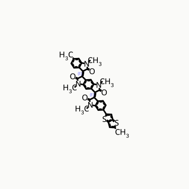 Cc1ccc2c(c1)N(C)C(=O)/C2=C1/C(=O)N(C)c2cc3c(cc21)N(C)C(=O)/C3=C1/C(=O)N(C)c2cc(-c3cc4sc(C)cc4s3)ccc21